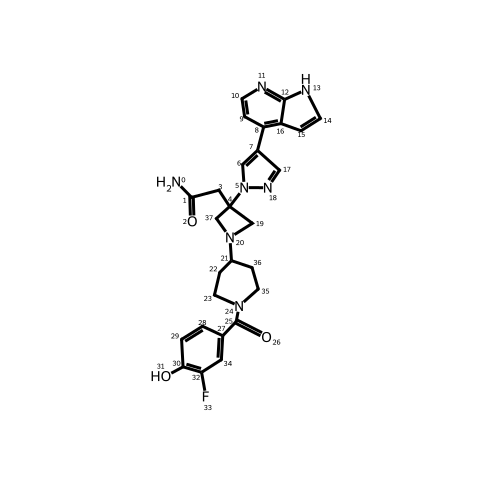 NC(=O)CC1(n2cc(-c3ccnc4[nH]ccc34)cn2)CN(C2CCN(C(=O)c3ccc(O)c(F)c3)CC2)C1